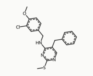 COc1ccc(CNc2nc(SC)ncc2Cc2ccccc2)cc1Cl